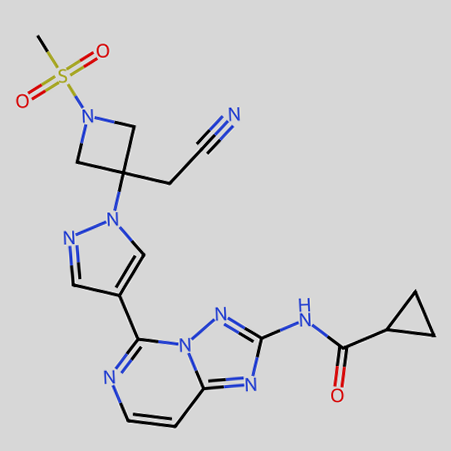 CS(=O)(=O)N1CC(CC#N)(n2cc(-c3nccc4nc(NC(=O)C5CC5)nn34)cn2)C1